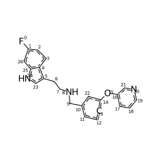 Fc1ccc2c(CCNCc3cccc(Oc4cccnc4)c3)c[nH]c2c1